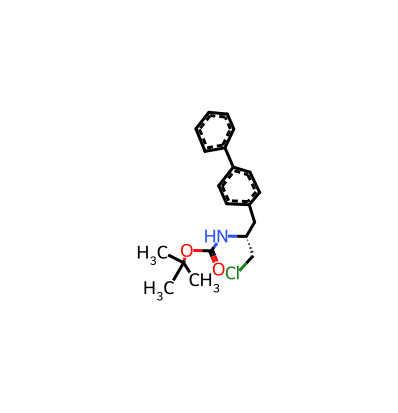 CC(C)(C)OC(=O)N[C@@H](CCl)Cc1ccc(-c2ccccc2)cc1